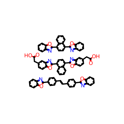 C(=Cc1ccc(-c2nc3ccccc3o2)cc1)c1ccc(-c2nc3ccccc3o2)cc1.O=C(O)Cc1ccc2oc(-c3ccc(-c4nc5cc(CC(=O)O)ccc5o4)c4ccccc34)nc2c1.c1ccc2oc(-c3ccc(-c4nc5ccccc5o4)c4ccccc34)nc2c1